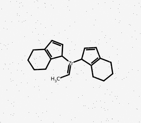 C[CH]=[Zr]([CH]1C=CC2=C1CCCC2)[CH]1C=CC2=C1CCCC2